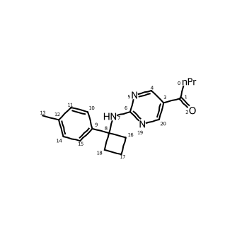 CCCC(=O)c1cnc(NC2(c3ccc(C)cc3)CCC2)nc1